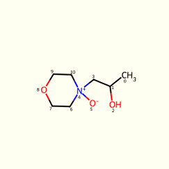 CC(O)C[N+]1([O-])CCOCC1